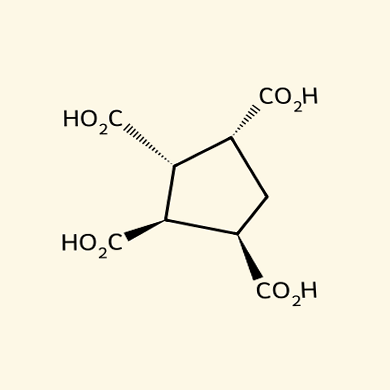 O=C(O)[C@H]1[C@H](C(=O)O)[C@H](C(=O)O)C[C@H]1C(=O)O